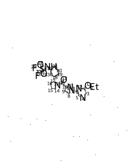 CCOc1cncc(-n2ccc(C(=O)N3CCC[C@@H]3c3cccc(NS(=O)(=O)C(F)F)c3)n2)n1